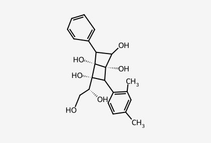 Cc1ccc(C2[C@]3(O)C(O)C(c4ccccc4)[C@]3(O)[C@]2(O)[C@H](O)CO)c(C)c1